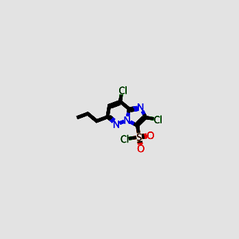 CCCc1cc(Cl)c2nc(Cl)c(S(=O)(=O)Cl)n2n1